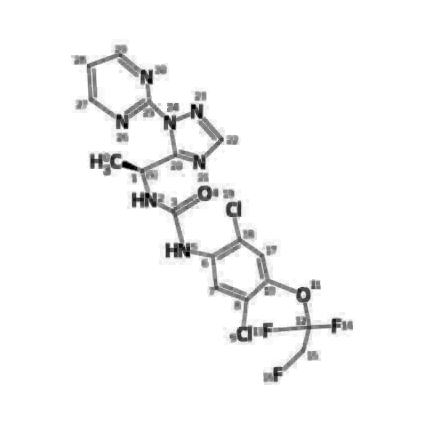 C[C@H](NC(=O)Nc1cc(Cl)c(OC(F)(F)CF)cc1Cl)c1ncnn1-c1ncccn1